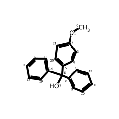 COc1ccc(C(O)(c2ccccc2)c2ccccc2)cc1